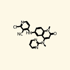 CN(c1ncccn1)c1cc(=O)n(C)c2ccc(Nc3ccnc(Cl)c3C#N)cc12